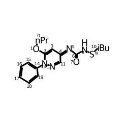 CCCOc1cc(=NC(=O)NSC(C)CC)cnn1-c1ccccc1